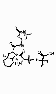 CCC[C@H](NC(=O)[C@@H]1C[C@@H]2CCCC[C@@H]2N1C(=O)[C@@H](N)C(C)(C)C)O[PH](=O)O.O=C(O)C(F)(F)F